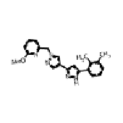 COc1cccc(Cn2cc(-c3cc(-c4cccc(C)c4C)[nH]n3)cn2)n1